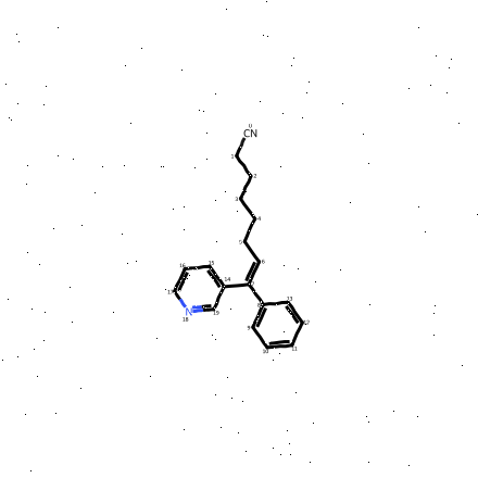 N#CCCCCCC=C(c1ccccc1)c1cccnc1